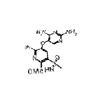 COc1nc(C(C)C)c(Oc2cnc(N)nc2N)cc1S(C)(=N)=O